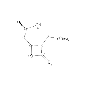 CCCCCCC1C(=O)OC1C[C@@H](C)O